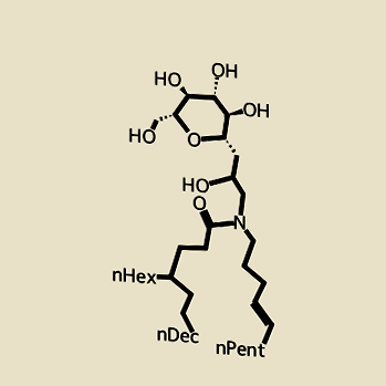 CCCCCC=CCCCN(CC(O)C[C@@H]1O[C@H](CO)[C@@H](O)[C@H](O)[C@H]1O)C(=O)CCC(CCCCCC)CCCCCCCCCCCC